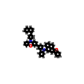 c1ccc2c(c1)Oc1cc(-c3ccc4c(c3)c3ccccc3n4-c3cc4cc5c6ccccc6oc5c5ccc6cccc3c6c45)ccc1N2c1ccc(-c2cccc3ccccc23)cc1